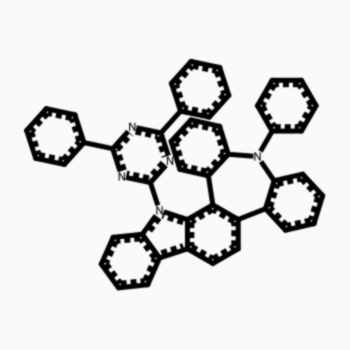 c1ccc(-c2nc(-c3ccccc3)nc(-n3c4ccccc4c4ccc5c(c43)-c3ccccc3N(c3ccccc3)c3ccccc3-5)n2)cc1